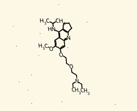 CCN(CC)CCOCCOc1cc2nc3c(c(NC(C)C)c2cc1OC)CCC3